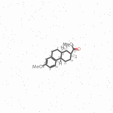 CC[C@H]1[C@@H]2CCc3cc(OC)ccc3[C@H]2CC[C@]1(C)C(=O)OC